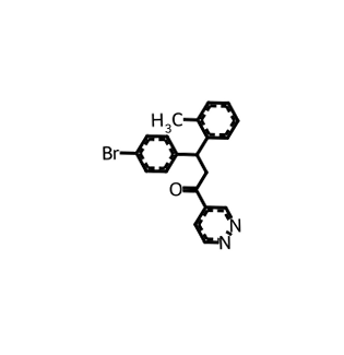 Cc1ccccc1C(CC(=O)c1ccnnc1)c1ccc(Br)cc1